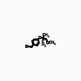 COCC(C)(C)Oc1ccc(CBr)cc1